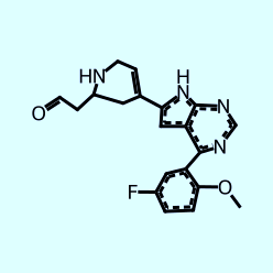 COc1ccc(F)cc1-c1ncnc2[nH]c(C3=CCNC(CC=O)C3)cc12